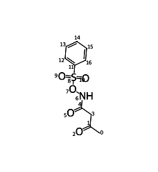 CC(=O)CC(=O)NOS(=O)(=O)c1ccccc1